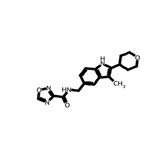 Cc1c(C2CCOCC2)[nH]c2ccc(CNC(=O)c3ncon3)cc12